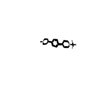 CN1C=CC(=c2ccc(=C3C=CN(C(F)(F)F)C=C3)cc2)C=C1